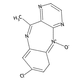 CC1=NC2=CC(Cl)=CCC2=[N+]([O-])c2nccnc21